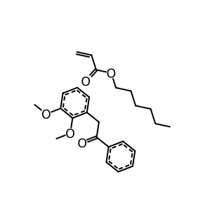 C=CC(=O)OCCCCCC.COc1cccc(CC(=O)c2ccccc2)c1OC